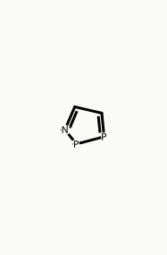 C1=[N+][P]P=C1